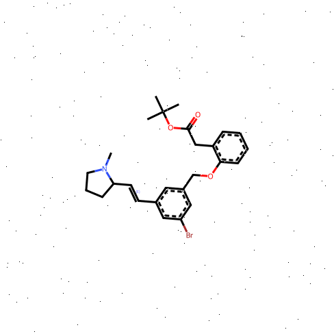 CN1CCCC1/C=C/c1cc(Br)cc(COc2ccccc2CC(=O)OC(C)(C)C)c1